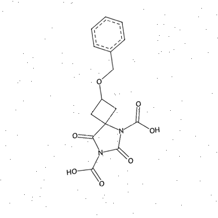 O=C(O)N1C(=O)N(C(=O)O)C2(CC(OCc3ccccc3)C2)C1=O